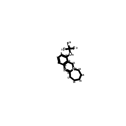 FC(F)(F)Oc1cccc2c1CN1CCCCCC1=N2